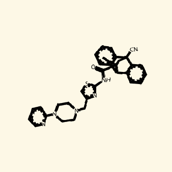 CC1(C(=O)Nc2nc(CN3CCN(c4ccccn4)CC3)cs2)CC2(C#N)c3ccccc3C1c1ccccc12